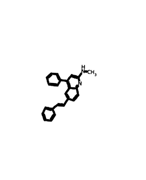 CNc1cc(-c2ccccc2)c2cc(C=Cc3ccccc3)ccc2n1